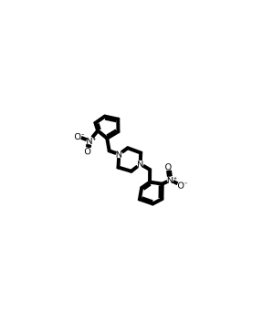 O=[N+]([O-])c1ccccc1CN1CCN(Cc2ccccc2[N+](=O)[O-])CC1